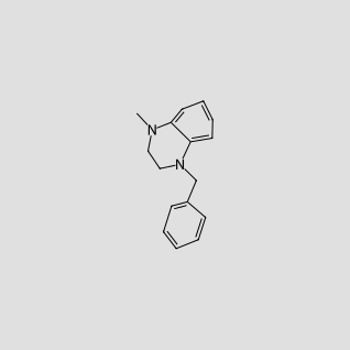 CN1CCN(Cc2ccccc2)c2ccccc21